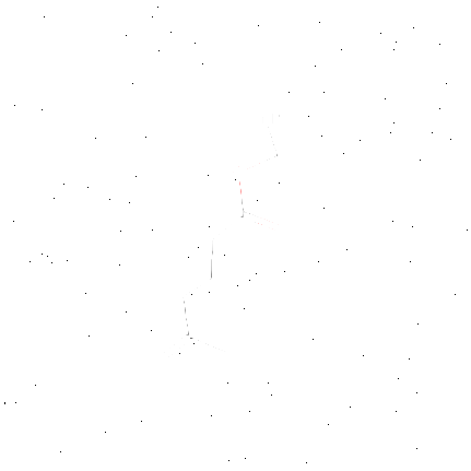 C=C(C)CCCC(=O)OCCCCCC